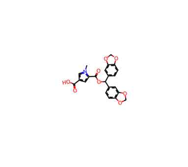 Cn1cc(C(=O)O)cc1C(=O)OC(c1ccc2c(c1)OCO2)c1ccc2c(c1)OCO2